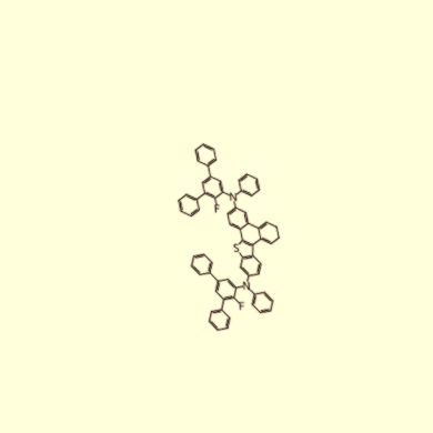 Fc1c(-c2ccccc2)cc(-c2ccccc2)cc1N(c1ccccc1)c1ccc2c(c1)sc1c3ccc(N(c4ccccc4)c4cc(-c5ccccc5)cc(-c5ccccc5)c4F)cc3c3c(c21)=CCCC=3